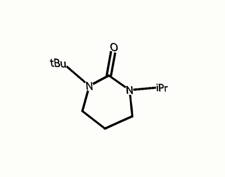 CC(C)N1CCCN(C(C)(C)C)C1=O